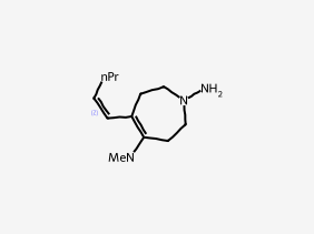 CCC/C=C\C1=C(NC)CCN(N)CC1